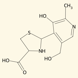 Cc1ncc(CO)c(C2NC(C(=O)O)CS2)c1O